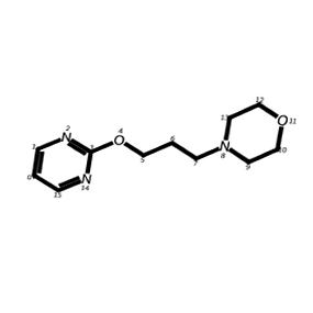 [c]1cnc(OCCCN2CCOCC2)nc1